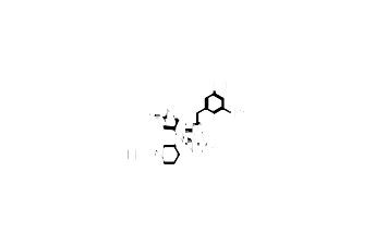 CNS(=O)(=NC(=O)Cc1cc(C(C)C)cc(C(C)C)c1)N(c1cnn(C)c1)C1CCCN(C)C1